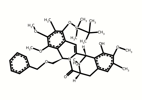 COc1c(C)cc2c(c1O)[C@H]1C3=Cc4c(O[Si](C)(C)C(C)(C)C)c(C)c(OC)c(OC)c4[C@H](COCc4ccccc4)N3C(=O)[C@@H](C2)N1C